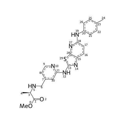 COC(=O)[C@@H](C)NCc1ccnc(Nc2nc3ccc(Nc4ccc(C)cc4)nc3s2)c1